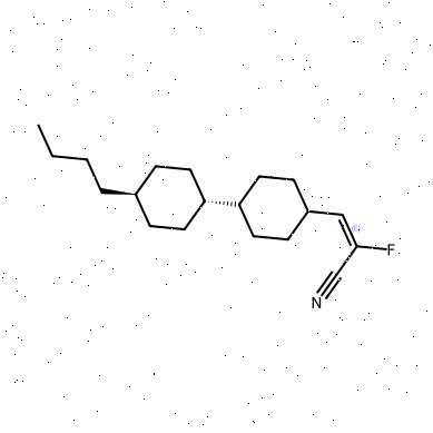 CCCC[C@H]1CC[C@H](C2CCC(/C=C(/F)C#N)CC2)CC1